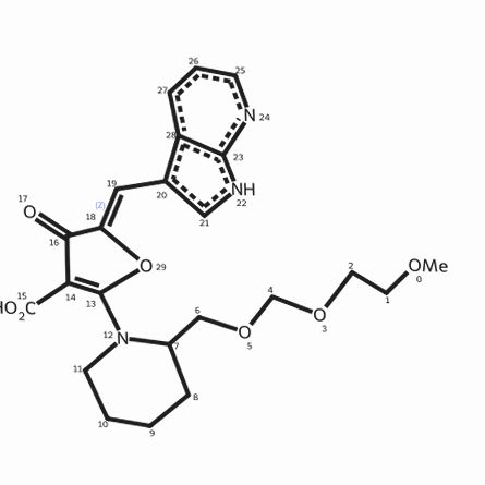 COCCOCOCC1CCCCN1C1=C(C(=O)O)C(=O)/C(=C/c2c[nH]c3ncccc23)O1